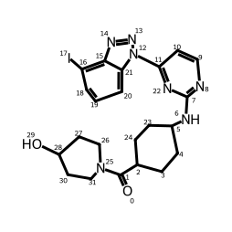 O=C(C1CCC(Nc2nccc(-n3nnc4c(I)cccc43)n2)CC1)N1CCC(O)CC1